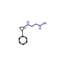 CC(C)NCCN[C@@H]1CC1c1ccccc1